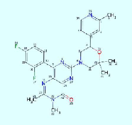 Cc1cc(C2CN(c3nc(-c4ccc(F)cc4F)c4nc(C)n(C)c(=O)c4n3)CC(C)(C)O2)ccn1